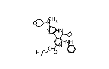 CCOC(=O)c1cc(-c2ccc(N(C)C3CCOCC3)nc2)c(C(=N)C2CCC2)c(Nc2ccccc2)n1